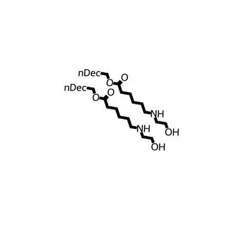 CCCCCCCCCCCOC(=O)CCCCCNCCO.CCCCCCCCCCCOC(=O)CCCCCNCCO